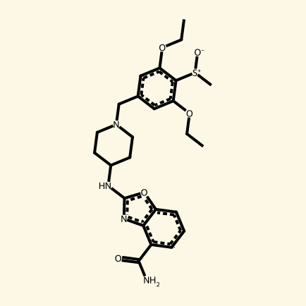 CCOc1cc(CN2CCC(Nc3nc4c(C(N)=O)[c]ccc4o3)CC2)cc(OCC)c1[S+](C)[O-]